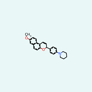 COc1ccc2c3c(ccc2c1)OC(c1ccc(N2CCCCC2)cc1)C=C3